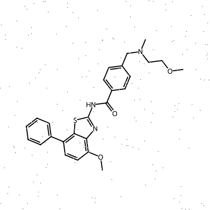 COCCN(C)Cc1ccc(C(=O)Nc2nc3c(OC)ccc(-c4ccccc4)c3s2)cc1